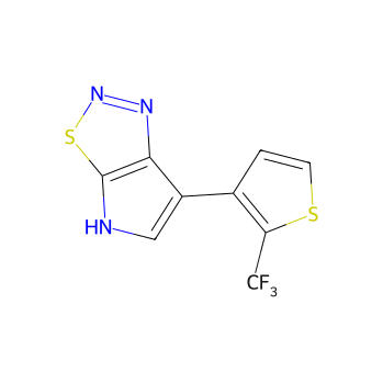 FC(F)(F)c1sccc1-c1c[nH]c2snnc12